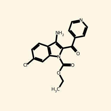 CCOC(=O)n1c(C(=O)c2ccncc2)c(N)c2ccc(Cl)cc21